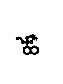 CCCO[Si](OCCC)(OCCC)c1cccc2ccccc12